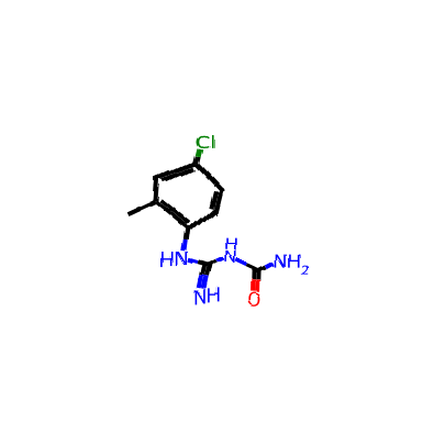 Cc1cc(Cl)ccc1NC(=N)NC(N)=O